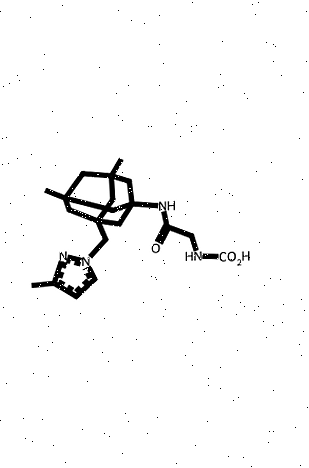 Cc1ccn(CC23CC4(C)CC(C)(C2)CC(NC(=O)CNC(=O)O)(C4)C3)n1